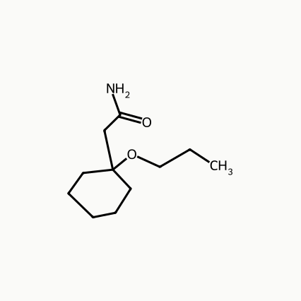 CCCOC1(CC(N)=O)CCCCC1